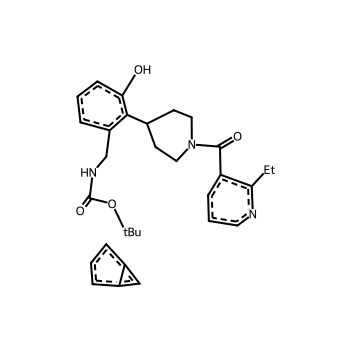 CCc1ncccc1C(=O)N1CCC(c2c(O)cccc2CNC(=O)OC(C)(C)C)CC1.c1cc2cc-2c1